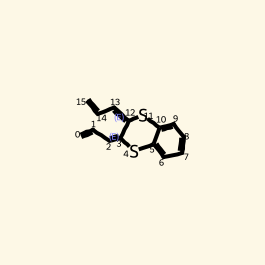 C=C/C=C1/Sc2ccccc2S/C1=C/C=C